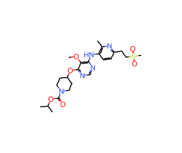 COc1c(Nc2ccc(CCS(C)(=O)=O)nc2C)ncnc1OC1CCN(C(=O)OC(C)C)CC1